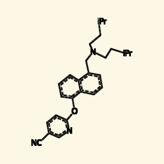 CC(C)CCN(CCC(C)C)Cc1cccc2c(Oc3ccc(C#N)cn3)cccc12